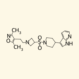 Cc1noc(C)c1CCN1CC(S(=O)(=O)N2CCC(c3c[nH]c4ncccc34)CC2)C1